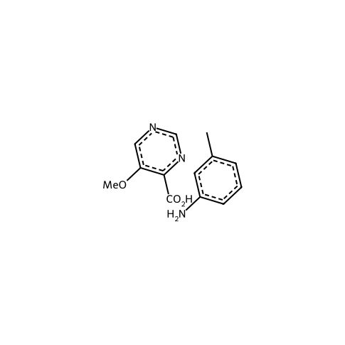 COc1cncnc1C(=O)O.Cc1cccc(N)c1